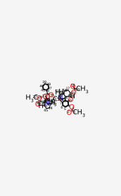 CC(=O)Oc1ccc2c3c1O[C@H]1[C@@H](OC(C)=O)C=C[C@H]4[C@@H](C2)N(C)CC[C@@]341.COC(=O)[C@H]1[C@@H](OC(=O)c2ccccc2)C[C@@H]2CC[C@H]1N2C